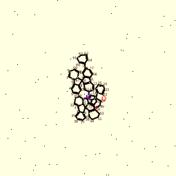 C1=CC2c3ccccc3C3(C4=C(C=CC(N(C5CC=CC6Oc7ccccc7C65)C5CCC=C6c7ccccc7C7(C8=C(CCC=C8)C8=C7CCCC8)C65)C4)c4ccc(C5=CCCC=C5)cc43)C2C=C1